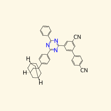 N#Cc1ccc(-c2cc(C#N)cc(-c3nc(-c4ccccc4)nc(-c4ccc(C56C[C@H]7C[C@@H](C5)C[C@@H](C6)C7)cc4)n3)c2)cc1